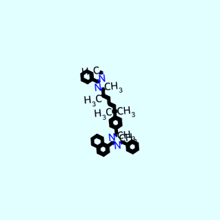 C=C(/N=C(\N=C(/C)c1ccc(C(C)(C)/C=C/C=C(\C)C(C)/N=C(\N=C/C)C2=CCCC=C2)cc1)c1cccc2c1C=CCC2)c1ccccc1